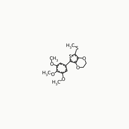 COc1cc(-c2sc(SC)c3c2OCCO3)cc(OC)c1OC